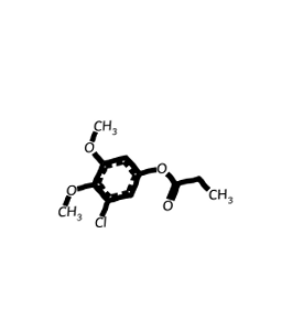 CCC(=O)Oc1cc(Cl)c(OC)c(OC)c1